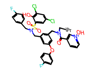 CC(C)CN(Cc1cc(CN(Cc2ccc(F)cc2)S(=O)(=O)c2cc(Cl)cc(Cl)c2O)cc(Oc2ccc(F)cc2)c1)C(=O)c1ccc[n+](O)c1